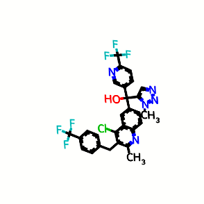 Cc1nc2ccc(C(O)(c3ccc(C(F)(F)F)nc3)c3cnnn3C)cc2c(Cl)c1Cc1ccc(C(F)(F)F)cc1